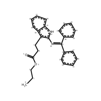 CCCOC(=O)CCc1c(N=C(c2ccccc2)c2ccccc2)[nH]c2ccccc12